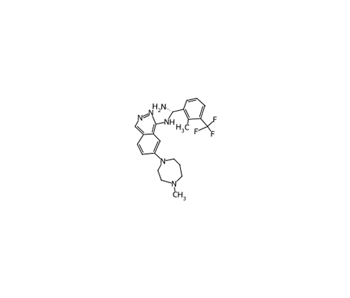 Cc1c([C@@H](N)Nc2nncc3ccc(N4CCCN(C)CC4)cc23)cccc1C(F)(F)F